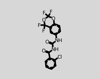 O=C(NC(=O)c1ccccc1Cl)Nc1ccc2c(c1)C(F)(F)OC(F)(F)O2